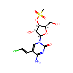 CS(=O)(=O)O[C@@H]1[C@@H](O)[C@H](n2cc(C=CCl)c(N)nc2=O)O[C@@H]1CO